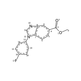 COC(=O)c1ccc2c(c1)ncn2-c1ccc(F)cc1